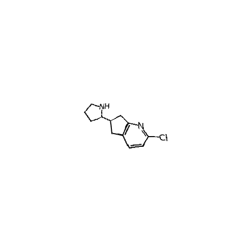 Clc1ccc2c(n1)CC(C1CCCN1)C2